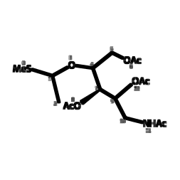 CSC(C)OC(COC(C)=O)[C@H](OC(C)=O)C(CNC(C)=O)OC(C)=O